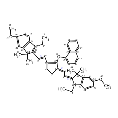 CCN1/C(=C/C=C2\CCC(/C=C/C3=[N+](CC)c4ccc(OC)cc4C3(C)C)=C2Oc2cccc3ccccc23)C(C)(C)c2cc(OC)ccc21